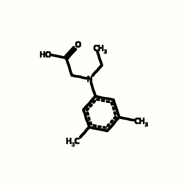 CCN(CC(=O)O)c1cc(C)cc(C)c1